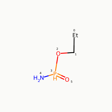 CCCO[PH](N)=O